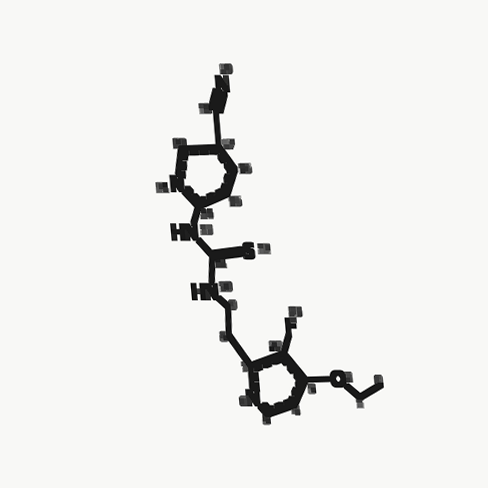 CCOc1ccnc(CCNC(=S)Nc2ccc(C#N)cn2)c1F